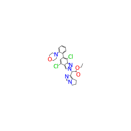 CCOC(=O)C(c1ncn2c1CCC2)n1cc2c(Cl)cc(-c3ccccc3N3CCOCC3)c(Cl)c2n1